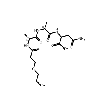 CC(C)CCOCCC(=O)N[C@@H](C)C(=O)N[C@@H](C)C(=O)NC(CC(N)=O)C(=O)C(C)C